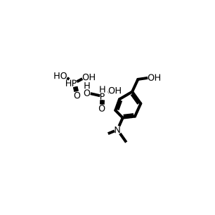 CN(C)c1ccc(CO)cc1.O=[PH](O)O.O=[PH](O)O